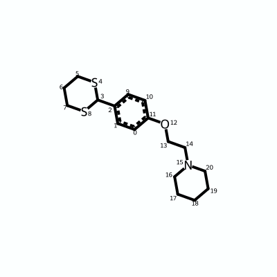 c1cc(C2SCCCS2)ccc1OCCN1CCCCC1